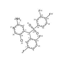 Nc1cc(C(c2cc(F)ccc2F)S(=O)(=O)c2ccc(F)c(F)c2)c(Cl)cn1